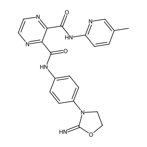 Cc1ccc(NC(=O)c2nccnc2C(=O)Nc2ccc(N3CCOC3=N)cc2)nc1